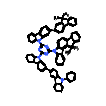 CC1(C)c2ccccc2-c2ccc(-c3ccc4c5ccccc5n(-c5nc(-n6c7ccccc7c7ccc(-c8ccc9c(c8)c8ccccc8n9-c8ccccc8)cc76)nc(-n6c7ccccc7c7c8c(ccc76)-c6ccccc6C8(C)C)n5)c4c3)cc21